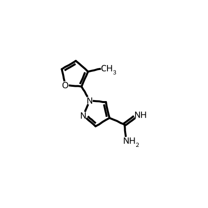 Cc1ccoc1-n1cc(C(=N)N)cn1